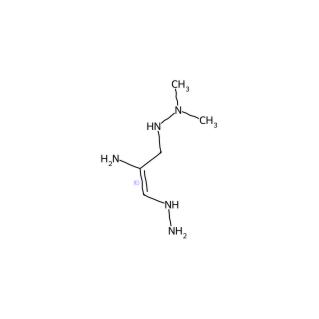 CN(C)NC/C(N)=C\NN